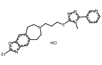 CCc1nc2cc3c(cc2o1)CCN(CCCSc1nnc(-c2cccnc2)n1C)CC3.Cl